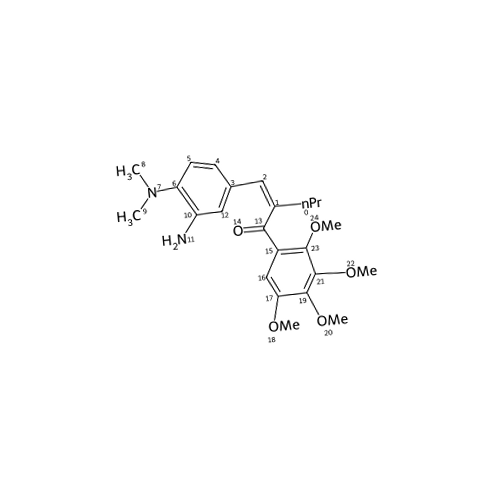 CCCC(=Cc1ccc(N(C)C)c(N)c1)C(=O)c1cc(OC)c(OC)c(OC)c1OC